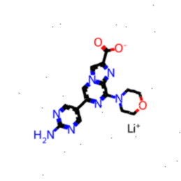 Nc1ncc(-c2cn3cc(C(=O)[O-])nc3c(N3CCOCC3)n2)cn1.[Li+]